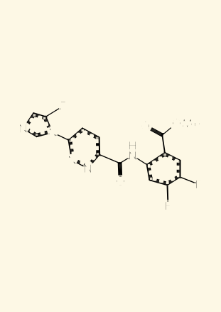 COC(=O)c1cc(F)c(F)cc1NC(=O)c1ccc(-n2cncc2F)nn1